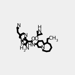 CCC1CCCCCN2CC(NC(=O)c3c(N)nn4cc(CC#N)cnc34)C(OC3CNC3)CC12